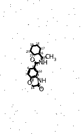 C[C@H](NC(=O)c1ccc2c(c1)NC(=O)CO2)C1CCCCC1